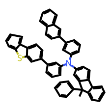 CC1(c2ccccc2)c2ccccc2-c2ccc(N(c3cccc(-c4ccc5ccccc5c4)c3)c3cccc(-c4ccc5c(c4)sc4ccccc45)c3)cc21